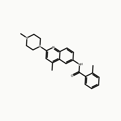 Cc1ccccc1C(=O)Nc1ccc2nc(N3CCN(C)CC3)cc(C)c2c1